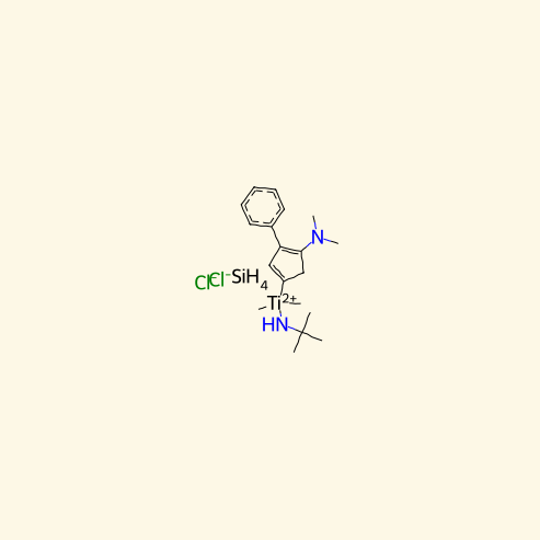 CN(C)C1=C(c2ccccc2)C=[C]([Ti+2]([CH3])([CH3])[NH]C(C)(C)C)C1.[Cl-].[Cl-].[SiH4]